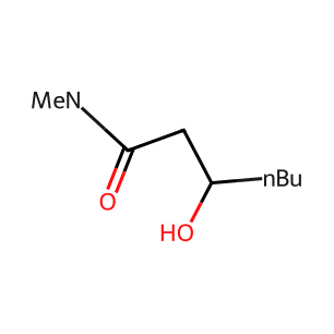 CCCCC(O)CC(=O)NC